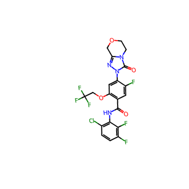 O=C(Nc1c(Cl)ccc(F)c1F)c1cc(F)c(-n2nc3n(c2=O)CCOC3)cc1OCC(F)(F)F